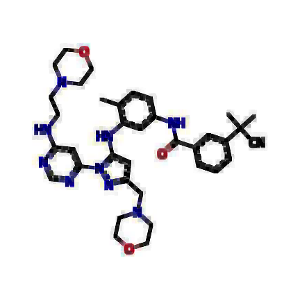 Cc1ccc(NC(=O)c2cccc(C(C)(C)C#N)c2)cc1Nc1cc(CN2CCOCC2)nn1-c1cc(NCCN2CCOCC2)ncn1